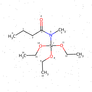 CCCC(=O)N(C)[Si](OCC)(OCC)OCC